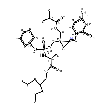 CCCC(CCC)COC(=O)[C@H](C)N[P@](=O)(OCC1(COC(=O)C(C)C)C/C1=C/n1ccc(N)nc1=O)Oc1ccccc1